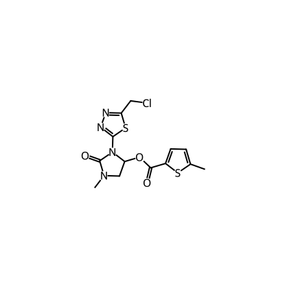 Cc1ccc(C(=O)OC2CN(C)C(=O)N2c2nnc(CCl)s2)s1